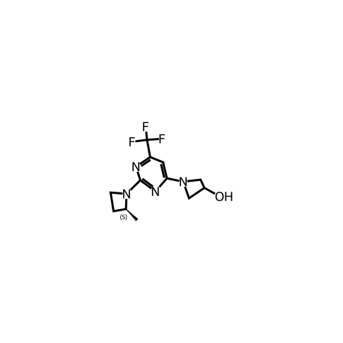 C[C@H]1CCN1c1nc(N2CC(O)C2)cc(C(F)(F)F)n1